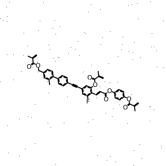 C=C(C)C(=O)OCc1ccc(-c2ccc(C#Cc3cc(F)c(/C=C/C(=O)Oc4ccc(OC(=O)C(=C)C)cc4)c(OC(=O)C(=C)C)c3)cc2)c(C)c1